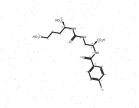 O=C(O)CCC[C@H](NC(=O)NC[C@H](NC(=O)c1ccc(F)cc1)C(=O)O)C(=O)O